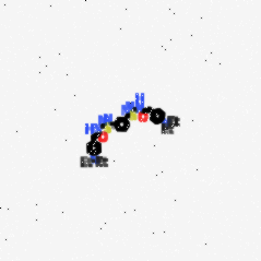 CCN(CC)c1ccc(CC(=O)Nc2nnc([C@H]3CCC[C@H](c4nnc(NC(=O)Cc5ccc(N(CC)CC)cc5)s4)C3)s2)cc1